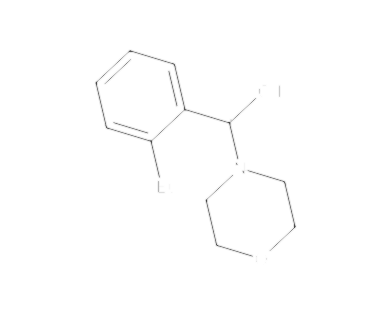 CCc1ccccc1[C](C)N1CCOCC1